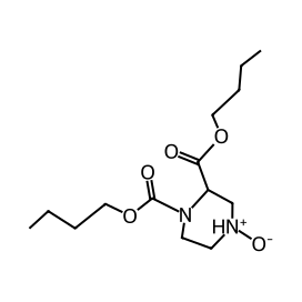 CCCCOC(=O)C1C[NH+]([O-])CCN1C(=O)OCCCC